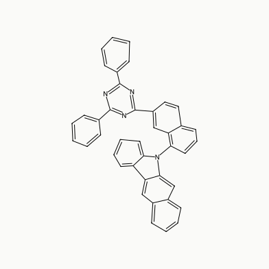 c1ccc(-c2nc(-c3ccccc3)nc(-c3ccc4cccc(-n5c6ccccc6c6cc7ccccc7cc65)c4c3)n2)cc1